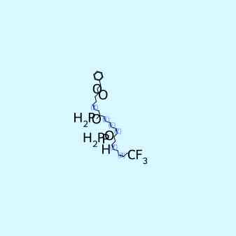 O=C(CC/C=C\CC(/C=C/C=C/C=C\C(C/C=C\C/C=C\CC(F)(F)F)OPP)OP)OCc1ccccc1